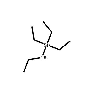 CC[Te][Sn]([CH2]C)([CH2]C)[CH2]C